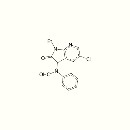 CCN1C(=O)C(N(C=O)c2ccccc2)c2cc(Cl)cnc21